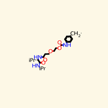 [CH2]c1ccc(NC(=O)OCCOCCC(=O)N[C@H](C(=O)NC(C)C)C(C)C)cc1